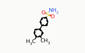 Cc1ccc(-c2ccc(S(N)(=O)=O)cc2)cc1C